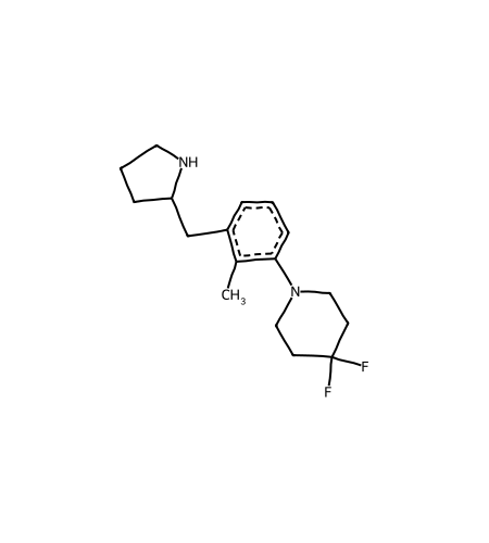 Cc1c(CC2CCCN2)cccc1N1CCC(F)(F)CC1